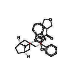 Cc1nc2ccccc2n1[C@@H]1C[C@H]2CC[C@@H](C1)N2CC[C@H](NC(=O)C1CCOC1)c1ccccc1